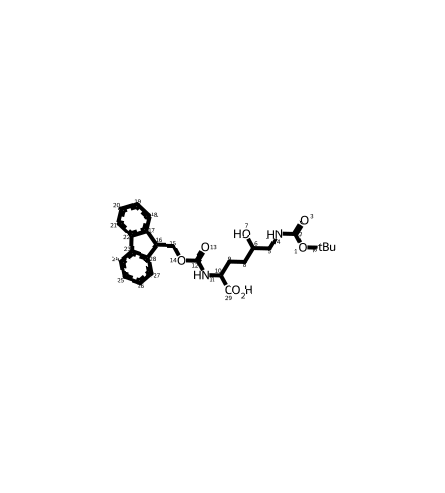 CC(C)(C)OC(=O)NCC(O)CCC(NC(=O)OCC1c2ccccc2-c2ccccc21)C(=O)O